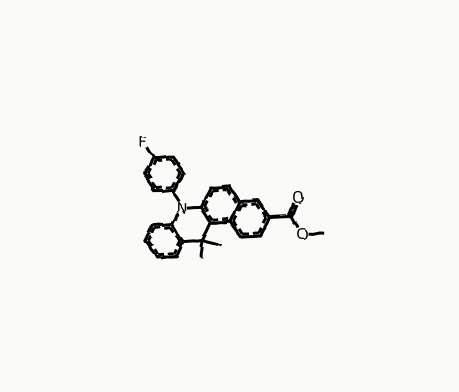 COC(=O)c1ccc2c3c(ccc2c1)N(c1ccc(F)cc1)c1ccccc1C3(C)C